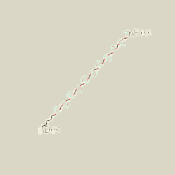 CCCCCCCCCCCCCCCCOCCOCCOCCOCCOCCOCCOCCOCCOCCOCCOCCCCCC